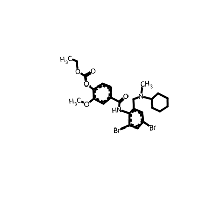 CCOC(=O)Oc1ccc(C(=O)Nc2c(Br)cc(Br)cc2CN(C)C2CCCCC2)cc1OC